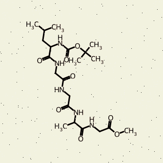 COC(=O)CNC(=O)C(C)NC(=O)CNC(=O)CNC(=O)C(CC(C)C)NC(=O)OC(C)(C)C